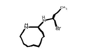 CC(Br)NC1CCCCN1